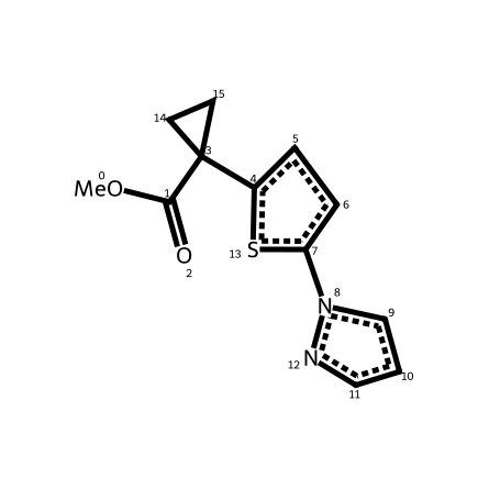 COC(=O)C1(c2ccc(-n3cccn3)s2)CC1